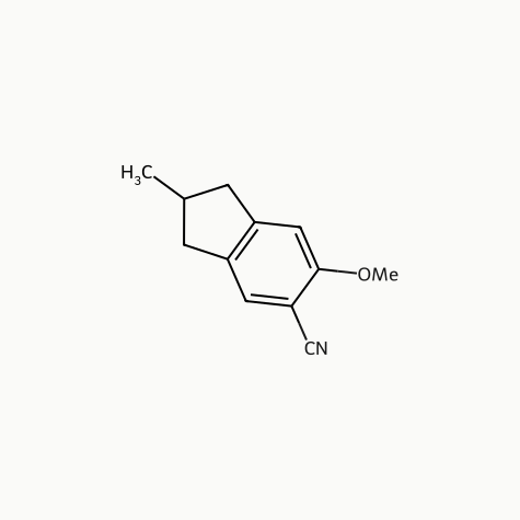 COc1cc2c(cc1C#N)CC(C)C2